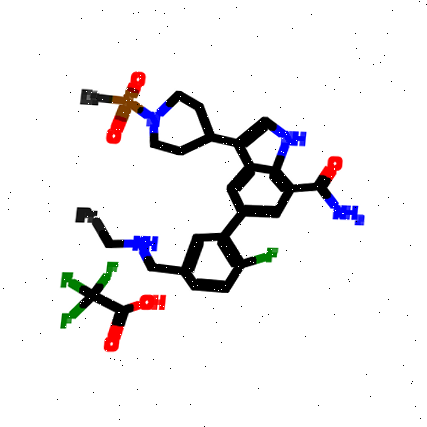 CCS(=O)(=O)N1CCC(c2c[nH]c3c(C(N)=O)cc(-c4cc(CNCC(C)C)ccc4F)cc23)CC1.O=C(O)C(F)(F)F